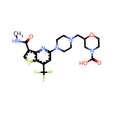 CNC(=O)c1csc2c(C(F)(F)F)cc(N3CCN(CC4CN(C(=O)O)CCO4)CC3)nc12